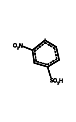 O=[N+]([O-])c1[c]ccc(S(=O)(=O)O)c1